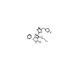 CCCCOc1c(-c2nnc(Cc3ccc(F)cc3)o2)nn2c1C(=O)N(C)C[C@@H]2c1ccccc1